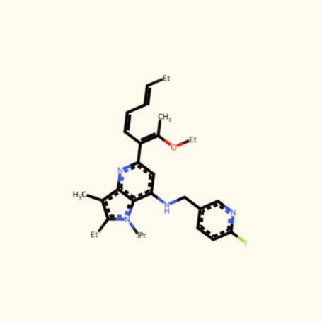 CC/C=C/C=C\C(=C(/C)OCC)c1cc(NCc2ccc(F)nc2)c2c(n1)c(C)c(CC)n2C(C)C